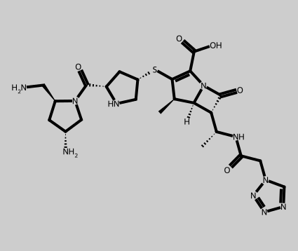 C[C@@H](NC(=O)Cn1cnnn1)[C@H]1C(=O)N2C(C(=O)O)=C(S[C@@H]3CN[C@H](C(=O)N4C[C@H](N)C[C@H]4CN)C3)[C@H](C)[C@H]12